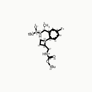 C[C@@H](N[S+]([O-])C(C)(C)C)c1cc(F)ccc1N1CCC1CNC(=O)OC(C)(C)C